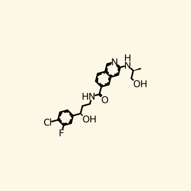 C[C@@H](CO)Nc1cc2cc(C(=O)NCC[C@@H](O)c3ccc(Cl)c(F)c3)ccc2cn1